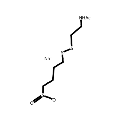 CC(=O)NCCSSCCCCS(=O)[O-].[Na+]